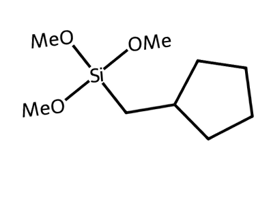 CO[Si](CC1CCCC1)(OC)OC